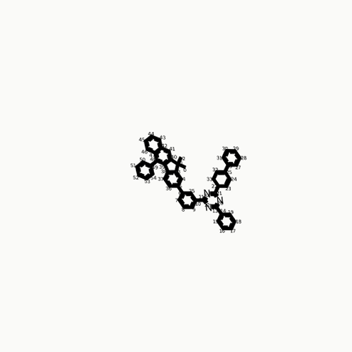 CC1(C)c2cc(-c3cccc(-c4nc(-c5ccccc5)nc(C5C=CC(c6ccccc6)=CC5)n4)c3)ccc2-c2c1cc1ccccc1c2-c1ccccc1